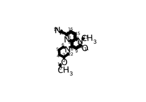 CCOC1CCCN(c2cc(=O)n(C)c3ccc(C#N)nc23)C1